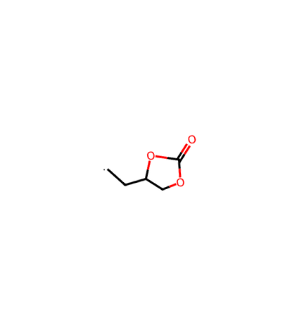 [CH2]CC1COC(=O)O1